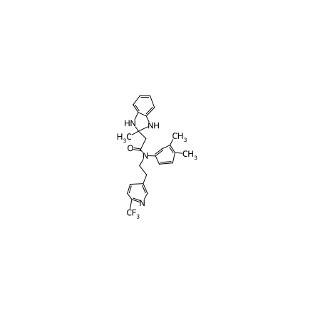 Cc1ccc(N(CCc2ccc(C(F)(F)F)nc2)C(=O)CC2(C)Nc3ccccc3N2)cc1C